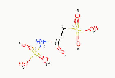 O=C(CS(=O)(=O)O)NS(=O)(=O)O